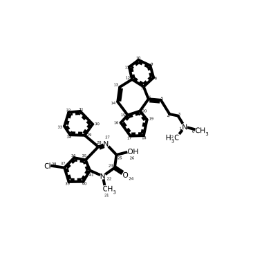 CN(C)CCC=C1c2ccccc2C=Cc2ccccc21.CN1C(=O)C(O)N=C(c2ccccc2)c2cc(Cl)ccc21